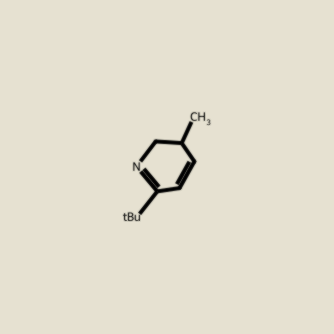 CC1C=CC(C(C)(C)C)=NC1